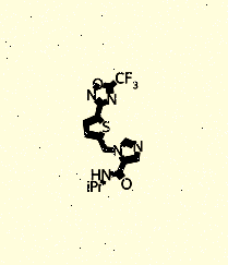 CC(C)NC(=O)c1cncn1Cc1ccc(-c2noc(C(F)(F)F)n2)s1